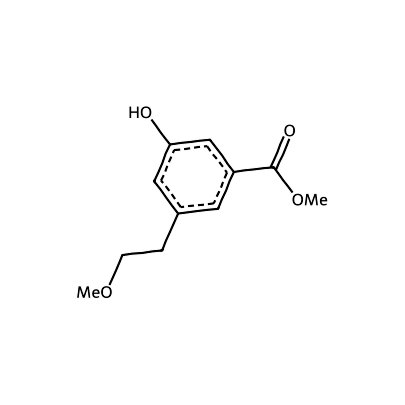 COCCc1cc(O)cc(C(=O)OC)c1